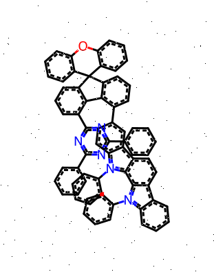 c1ccc(-c2nc(-c3ccccc3)nc(-c3cccc4c3-c3c(-c5ccc6c(c5)c5ccc7c8ccccc8n(-c8ccccc8)c7c5n6-c5ccccc5)cccc3C43c4ccccc4Oc4ccccc43)n2)cc1